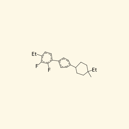 CCc1ccc(-c2ccc(C3CCC(C)(CC)CC3)cc2)c(F)c1F